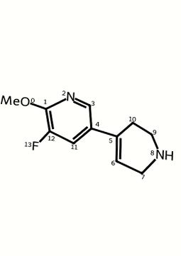 COc1ncc(C2=CCNCC2)cc1F